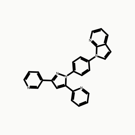 c1ccc(-c2cc(-c3cccnc3)nn2-c2ccc(-n3ccc4cccnc43)cc2)nc1